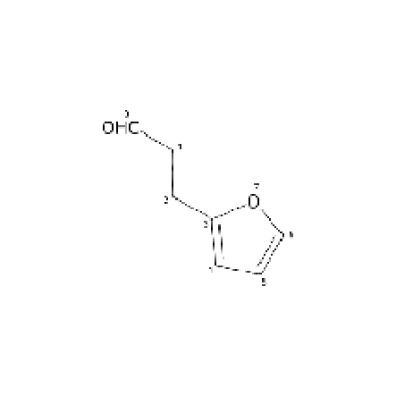 O=CCCc1ccco1